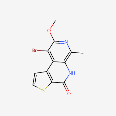 COc1nc(C)c2[nH]c(=O)c3sccc3c2c1Br